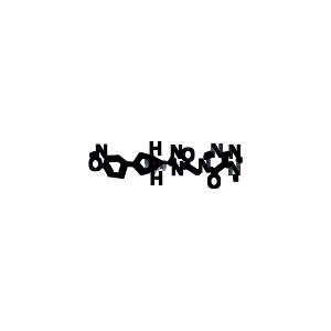 Cn1cnc2ncn(Cc3nc([C@@H]4[C@H]5C=C(c6ccc7ocnc7c6)C[C@H]54)no3)c(=O)c21